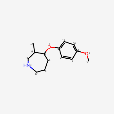 COc1ccc(OC2CCCNCC2C)cc1